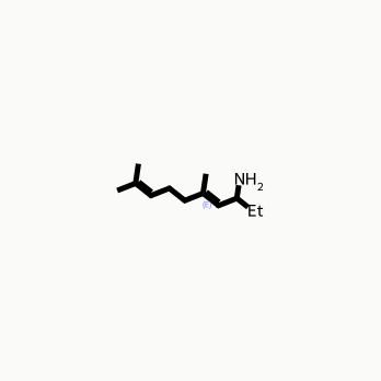 CCC(N)/C=C(\C)CCC=C(C)C